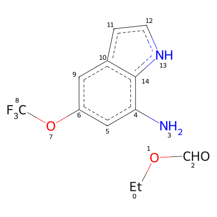 CCOC=O.Nc1cc(OC(F)(F)F)cc2cc[nH]c12